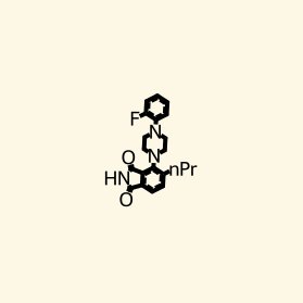 CCCc1ccc2c(c1N1CCN(c3ccccc3F)CC1)C(=O)NC2=O